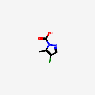 Cc1c(F)cnn1C(=O)O